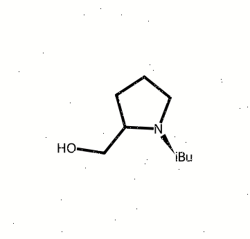 CC[C@H](C)N1CCCC1CO